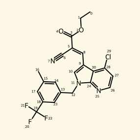 CCOC(=O)/C(C#N)=C/c1cn(Cc2cc(C)cc(C(F)(F)F)c2)c2nccc(Cl)c12